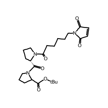 CC(C)(C)OC(=O)C1CCCN1C(=O)[C@@H]1CCCN1C(=O)CCCCCN1C(=O)C=CC1=O